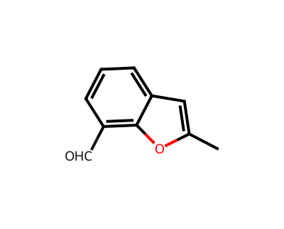 Cc1cc2cccc(C=O)c2o1